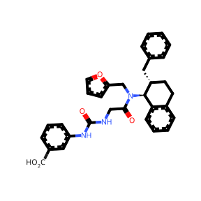 O=C(NCC(=O)N(Cc1ccco1)[C@@H]1c2ccccc2CC[C@H]1Cc1ccccc1)Nc1cccc(C(=O)O)c1